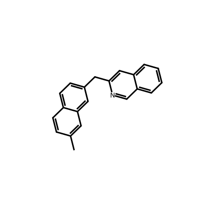 Cc1ccc2ccc(Cc3cc4ccccc4cn3)cc2c1